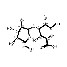 O=C(O)[C@H](O)[C@@H](O)[C@H](O[C@H]1O[C@H](CO)[C@@H](O)[C@H](O)[C@H]1O)[C@H](O)CO